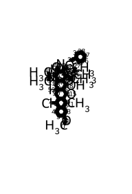 COc1ccc2c(Cl)c3c(c(C)c2c1)C(=O)C1=C(O)[C@]2(O[Si](C)(C)C(C)(C)C)C(=O)c4c(OCc5ccccc5)noc4[C@@H](N(C)C)[C@@H]2C[C@@H]1C3